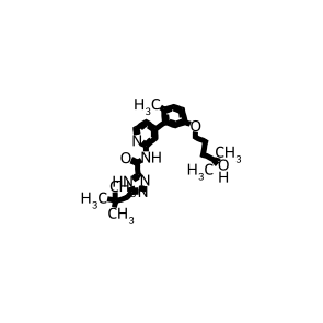 Cc1ccc(OCCCC(C)(C)O)cc1-c1ccnc(NC(=O)c2nnc(CC(C)(C)C)[nH]2)c1